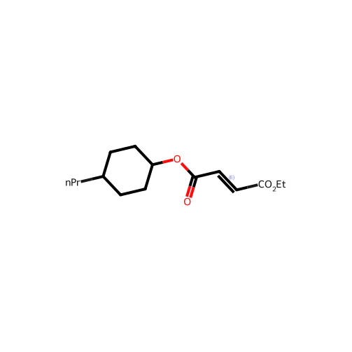 CCCC1CCC(OC(=O)/C=C/C(=O)OCC)CC1